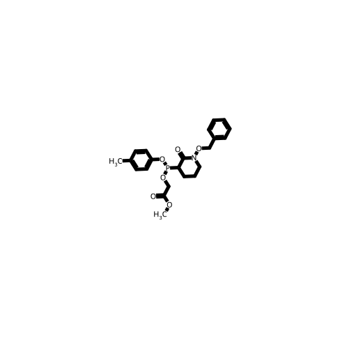 COC(=O)COP(Oc1ccc(C)cc1)C1CCCN(OCc2ccccc2)C1=O